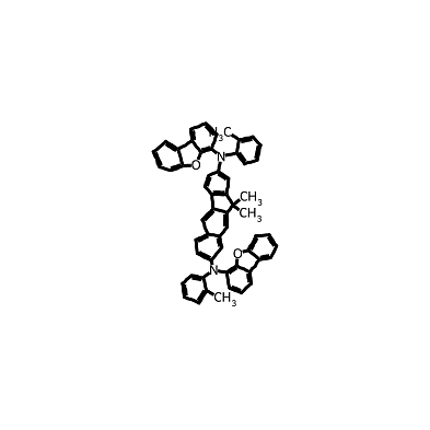 Cc1ccccc1N(c1ccc2c(c1)C(C)(C)c1cc3cc(N(c4ccccc4C)c4cccc5c4oc4ccccc45)ccc3cc1-2)c1cccc2c1oc1ccccc12